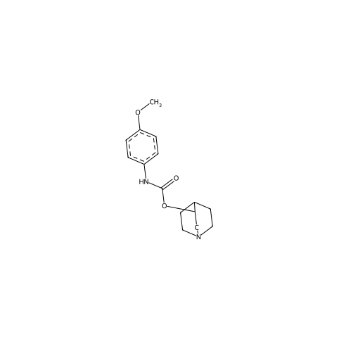 COc1ccc(NC(=O)OC2CN3CCC2CC3)cc1